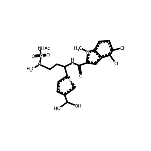 CC(=O)NS(=O)(=O)N(C)CCC(NC(=O)c1cc2c(Cl)c(Cl)ccc2n1C)c1ccc(C(O)O)cc1